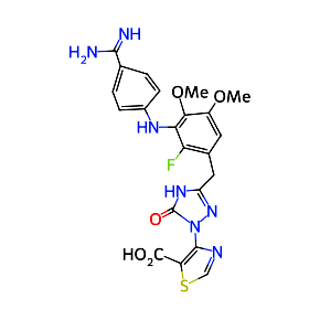 COc1cc(Cc2nn(-c3ncsc3C(=O)O)c(=O)[nH]2)c(F)c(Nc2ccc(C(=N)N)cc2)c1OC